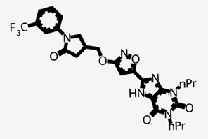 CCCn1c(=O)c2[nH]c(-c3cc(OCC4CC(=O)N(c5cccc(C(F)(F)F)c5)C4)no3)nc2n(CCC)c1=O